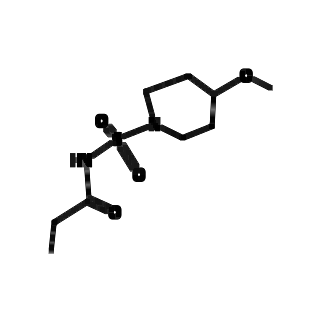 CCC(=O)NS(=O)(=O)N1CCC(OC)CC1